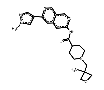 Cn1cc(-c2cc3cc(NC(=O)C4CCN(CC5(C)COC5)CC4)ncc3cn2)cn1